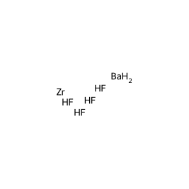 F.F.F.F.[BaH2].[Zr]